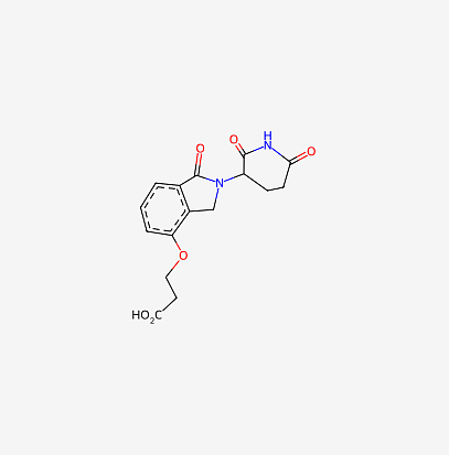 O=C(O)CCOc1cccc2c1CN(C1CCC(=O)NC1=O)C2=O